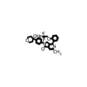 Cc1cc2c(c(-c3ccccc3OCC(F)(F)F)n1)CN(c1ccc(C3(O)CCOCC3)cc1)C2=O